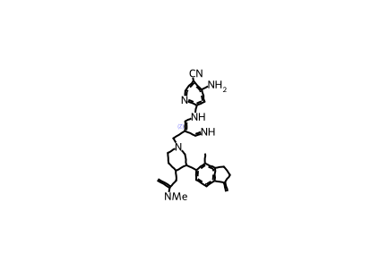 C=C(CC1CCN(C/C(C=N)=C/Nc2cc(N)c(C#N)cn2)CC1c1ccc2c(c1C)CCC2=C)NC